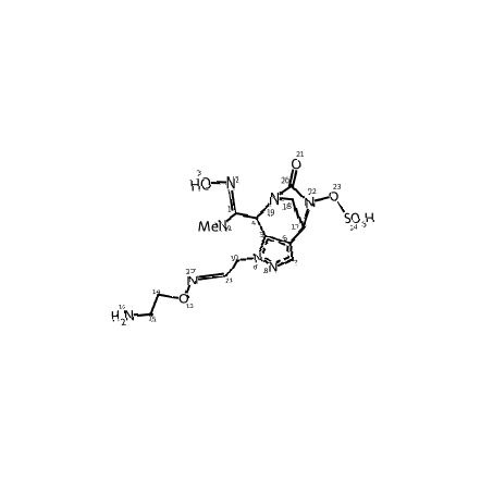 CN/C(=N\O)C1c2c(cnn2C/C=N/OCCN)C2CN1C(=O)N2OS(=O)(=O)O